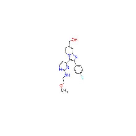 COCCNc1nccc(-c2c(-c3ccc(F)cc3)nc3cc(CO)ccn23)n1